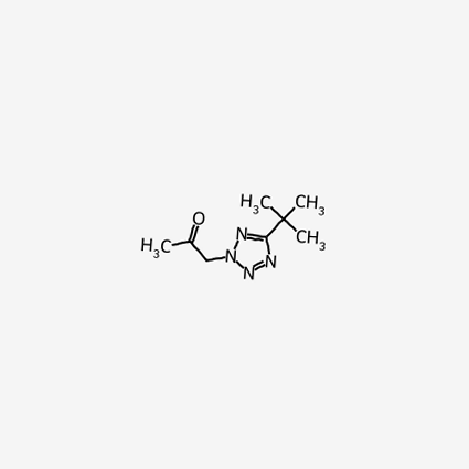 CC(=O)Cn1nnc(C(C)(C)C)n1